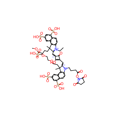 CC[N+]1=C(/C=C2\C(=O)C(/C=C3/N(CCCC(=O)ON4C(=O)CCC4=O)c4ccc5c(S(=O)(=O)O)cc(S(=O)(=O)O)cc5c4C3(C)CCOCCOCCOC)=C2O)C(C)(CCCS(=O)(=O)O)c2c1ccc1c(S(=O)(=O)O)cc(S(=O)(=O)O)cc21